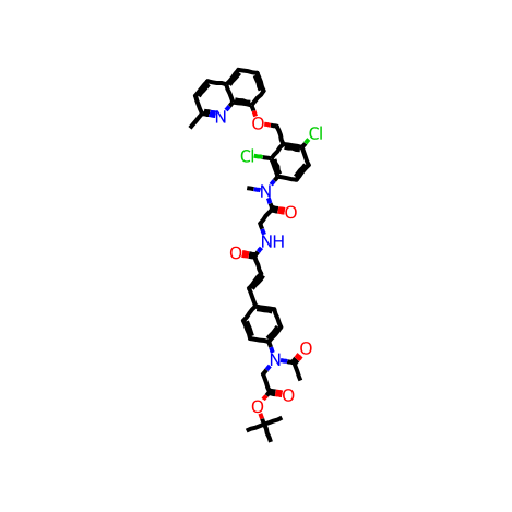 CC(=O)N(CC(=O)OC(C)(C)C)c1ccc(C=CC(=O)NCC(=O)N(C)c2ccc(Cl)c(COc3cccc4ccc(C)nc34)c2Cl)cc1